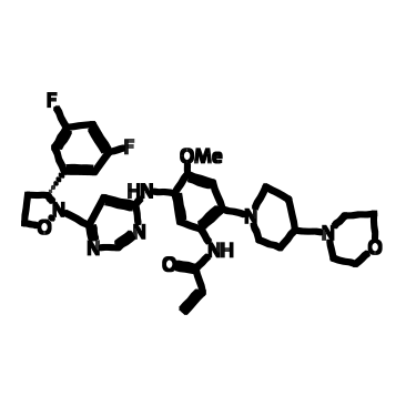 C=CC(=O)Nc1cc(Nc2cc(N3OCC[C@@H]3c3cc(F)cc(F)c3)ncn2)c(OC)cc1N1CCC(N2CCOCC2)CC1